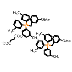 COc1cccc(C[P+](c2cccc(C)c2)(c2cccc(C)c2)c2cccc(C)c2)c1.COc1cccc(C[P+](c2cccc(C)c2)(c2cccc(C)c2)c2cccc(C)c2)c1.O=C([O-])CCC(=O)[O-]